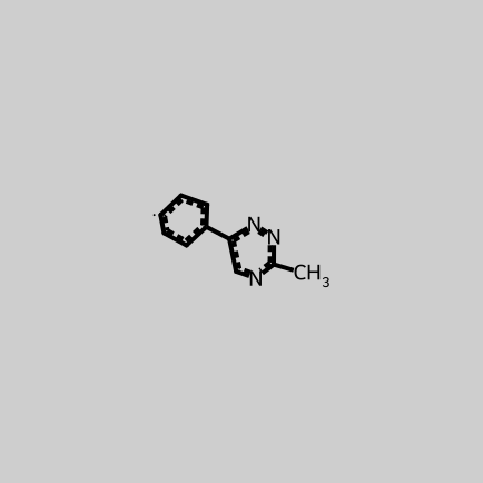 Cc1ncc(-c2cc[c]cc2)nn1